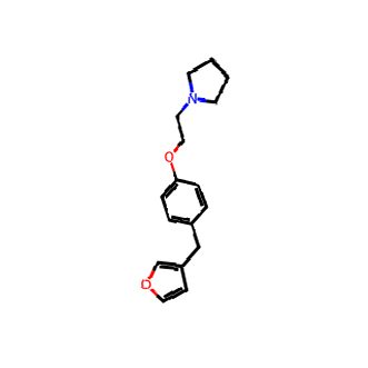 c1cc(Cc2ccc(OCCN3CCCC3)cc2)co1